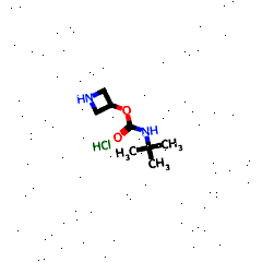 CC(C)(C)NC(=O)OC1CNC1.Cl